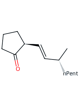 CCCCC[C@@H](C)/C=C/[C@@H]1CCCC1=O